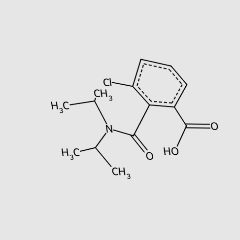 CC(C)N(C(=O)c1c(Cl)cccc1C(=O)O)C(C)C